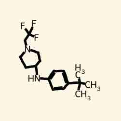 CC(C)(C)c1ccc(NC2CCN(CC(F)(F)F)CC2)cc1